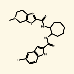 CN1CCc2nc(C(=O)NC3CCCCCC3NC(=O)c3cc4cc(Cl)ccc4[nH]3)sc2C1